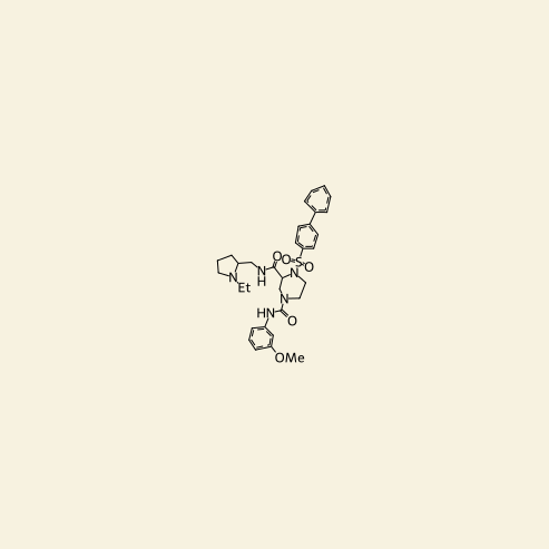 CCN1CCCC1CNC(=O)C1CN(C(=O)Nc2cccc(OC)c2)CCN1S(=O)(=O)c1ccc(-c2ccccc2)cc1